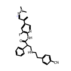 C=C(/C=N\N(C)C)c1cnc(NC(=O)C(CNCCc2ccc(C#N)cc2)c2ccccc2)c(F)c1